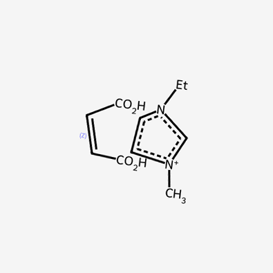 CCn1cc[n+](C)c1.O=C(O)/C=C\C(=O)O